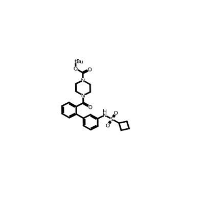 CC(C)(C)OC(=O)N1CCN(C(=O)c2ccccc2-c2cccc(NS(=O)(=O)C3CCC3)c2)CC1